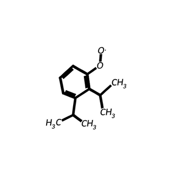 CC(C)c1cccc(O[O])c1C(C)C